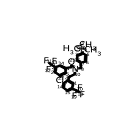 C[Si](C)(C)c1ccc(CN(CCc2cccc(C(F)(F)F)c2)C(=O)c2cc(Cl)cc(C(F)(F)F)c2)cc1